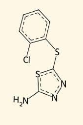 Nc1nnc(Sc2ccccc2Cl)s1